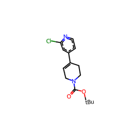 CC(C)(C)OC(=O)N1CC=C(c2ccnc(Cl)c2)CC1